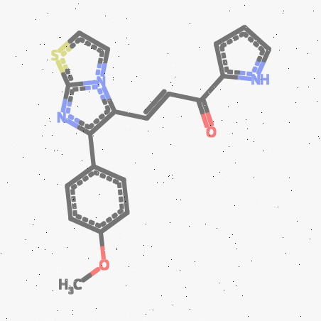 COc1ccc(-c2nc3sccn3c2C=CC(=O)c2ccc[nH]2)cc1